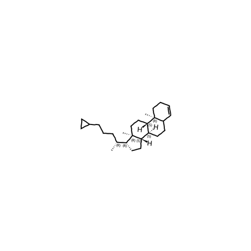 C[C@H](CCCC1CC1)[C@H]1CC[C@H]2[C@@H]3CCC4C=CCC[C@]4(C)[C@H]3CC[C@]12C